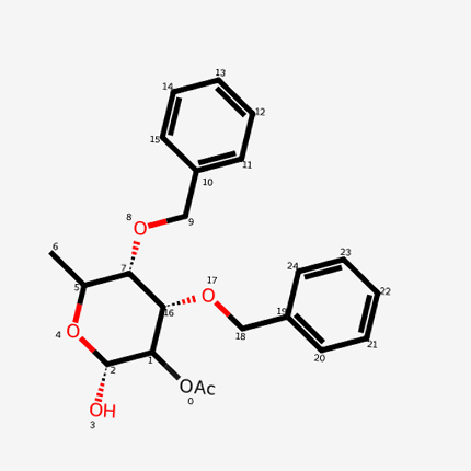 CC(=O)OC1[C@H](O)OC(C)[C@H](OCc2ccccc2)[C@@H]1OCc1ccccc1